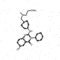 COCCN(C)Cc1ccc(Nc2nc3ccc(Cl)cc3c(=O)n2-c2ccccc2)cc1